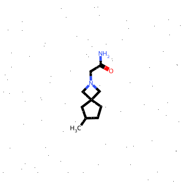 CC1CCC2(C1)CN(CC(N)=O)C2